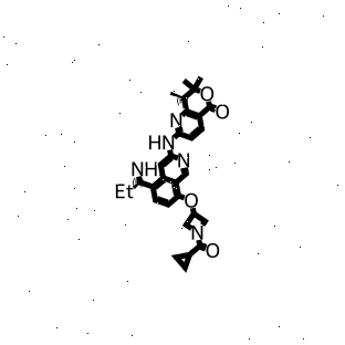 CC[C@@H](N)c1ccc(OC2CN(C(=O)C3CC3)C2)c2cnc(Nc3ccc4c(n3)[C@@H](C)C(C)(C)OC4=O)cc12